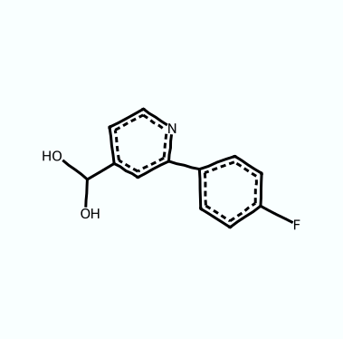 OC(O)c1ccnc(-c2ccc(F)cc2)c1